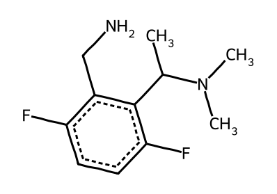 CC(c1c(F)ccc(F)c1CN)N(C)C